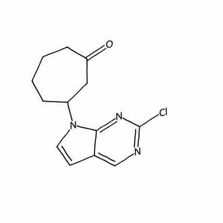 O=C1CCCCC(n2ccc3cnc(Cl)nc32)C1